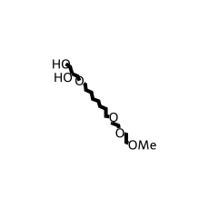 COCCOCCOCCCCCCCCOCC(O)CO